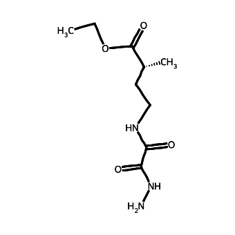 CCOC(=O)[C@H](C)CCNC(=O)C(=O)NN